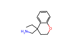 CCC1(CN)CCOc2ccccc21